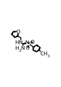 Cc1ccc(S(=O)(=O)/N=C(\N)NCc2ccco2)cc1